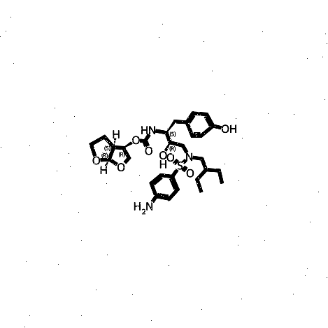 CCC(CC)CN(C[C@@H](O)[C@H](Cc1ccc(O)cc1)NC(=O)O[C@H]1CO[C@H]2OCC[C@H]21)S(=O)(=O)c1ccc(N)cc1